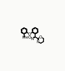 CON=C(C1=NCCCO1)c1ccccc1Oc1ccccc1C